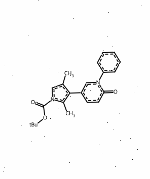 Cc1cn(C(=O)OC(C)(C)C)c(C)c1-c1ccc(=O)n(-c2ccccc2)c1